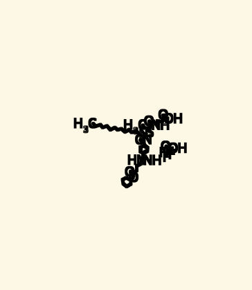 CCCCCCCCCCCCCCN1C(=NC(=O)c2ccc(C(=N)NCCCC(=O)OC3CCCCC3)cc2)SC(C(=O)NCCC(=O)O)C1C.O=C(O)C(F)(F)F